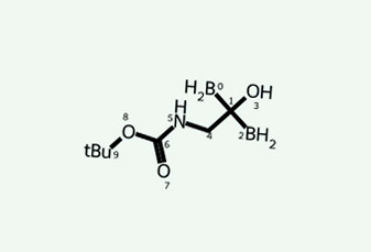 BC(B)(O)CNC(=O)OC(C)(C)C